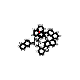 c1ccc2cc(C3=NC(c4cccc5oc6c7ccccc7c(-n7c8cc9ccccc9cc8c8ccc9ccccc9c87)cc6c45)NC(c4ccc5ccccc5c4)=N3)ccc2c1